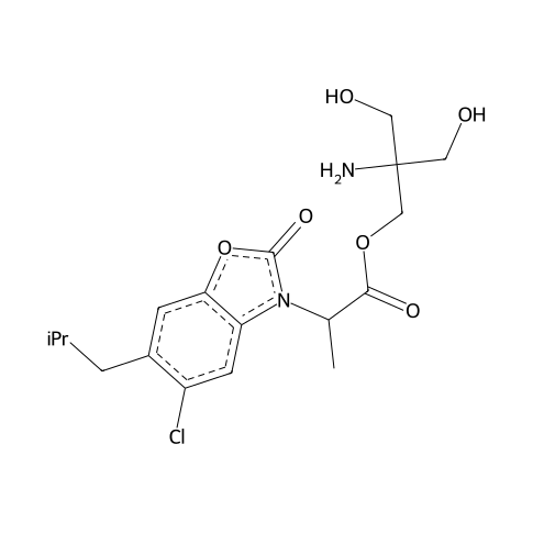 CC(C)Cc1cc2oc(=O)n(C(C)C(=O)OCC(N)(CO)CO)c2cc1Cl